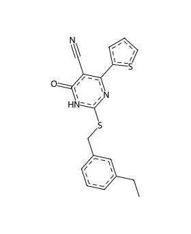 CCc1cccc(CSc2nc(-c3cccs3)c(C#N)c(=O)[nH]2)c1